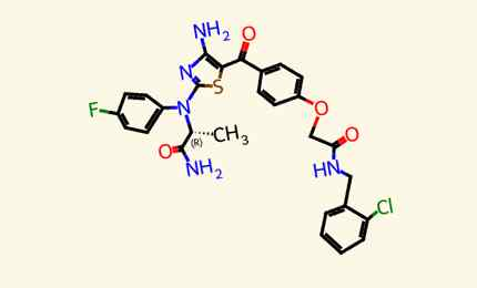 C[C@H](C(N)=O)N(c1ccc(F)cc1)c1nc(N)c(C(=O)c2ccc(OCC(=O)NCc3ccccc3Cl)cc2)s1